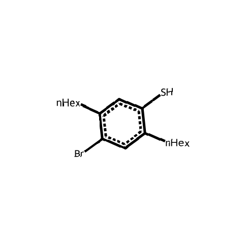 CCCCCCc1cc(Br)c(CCCCCC)cc1S